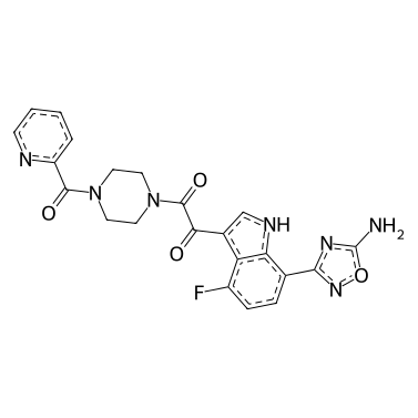 Nc1nc(-c2ccc(F)c3c(C(=O)C(=O)N4CCN(C(=O)c5ccccn5)CC4)c[nH]c23)no1